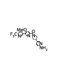 COc1cc(C(=O)N2CCC(c3ccc(N)nc3)CC2)ncc1-c1ccc(C(F)(F)F)nc1